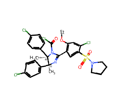 CCOc1cc(Cl)c(S(=O)(=O)N2CCCC2)cc1C1=N[C@@](C)(c2ccc(Cl)cc2)[C@@](C)(c2ccc(Cl)cc2)N1C(=O)Cl